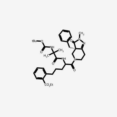 CCOC(=O)c1ccccc1CCCC(NC(=O)C(C)(C)NC(=O)OC(C)(C)C)C(=O)N1CCC2=NN(C)C(=O)[C@]2(Cc2ccccc2)C1